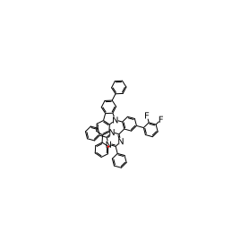 Fc1cccc(-c2ccc(-n3c4cc(-c5ccccc5)ccc4c4ccc(-c5ccccc5)cc43)c(-c3nc(-c4ccccc4)nc(-c4ccccc4)n3)c2)c1F